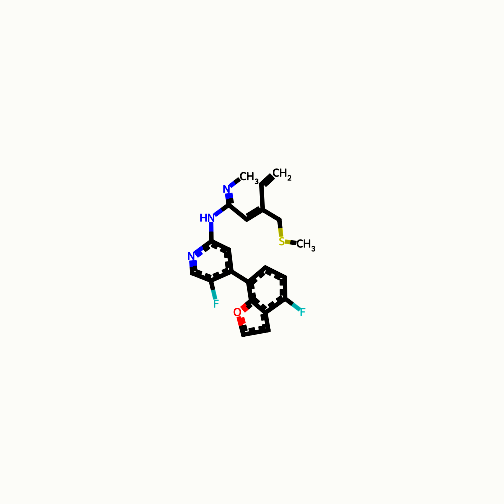 C=C/C(=C\C(=N/C)Nc1cc(-c2ccc(F)c3ccoc23)c(F)cn1)CSC